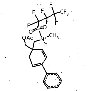 CC(=O)OCC1(C[N+](C)(F)S(=O)(=O)C(F)(F)C(F)(F)C(F)(F)C(F)(F)F)C=CC(c2ccccc2)=CC1